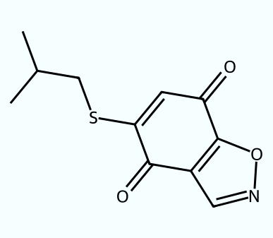 CC(C)CSC1=CC(=O)c2oncc2C1=O